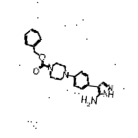 Nc1[nH]ncc1-c1ccc(N2CCN(C(=O)OCc3ccccc3)CC2)cc1